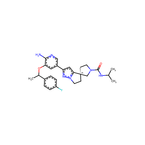 CC(C)NC(=O)N1CC[C@@]2(CCn3nc(-c4cnc(N)c(OC(C)c5ccc(F)cc5)c4)cc32)C1